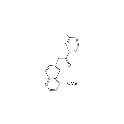 COc1ccnc2ccc(CC(=O)c3cccc(C)n3)cc12